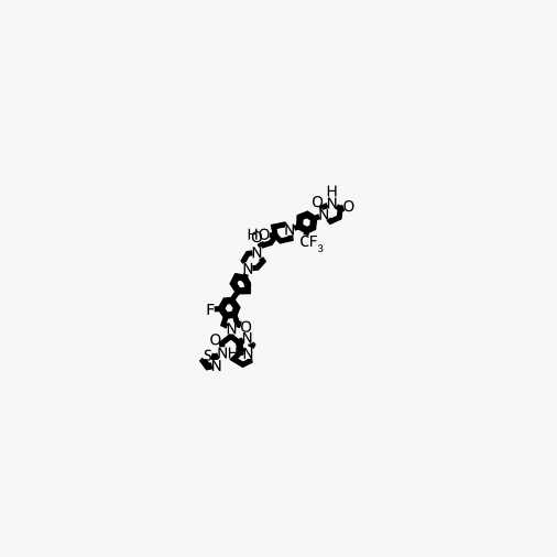 O=C1CCN(c2ccc(N3CCC(O)(CC(=O)N4CCN(c5ccc(-c6cc(F)c7c(c6)C(=O)N(C(C(=O)Nc6nccs6)c6ncn8c6CCC8)C7)cc5)CC4)CC3)c(C(F)(F)F)c2)C(=O)N1